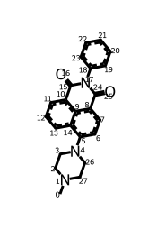 CN1CCN(c2ccc3c4c(cccc24)C(=O)N(c2ccccc2)C3=O)CC1